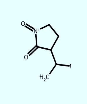 [CH2]C(I)C1CC[N+](=O)C1=O